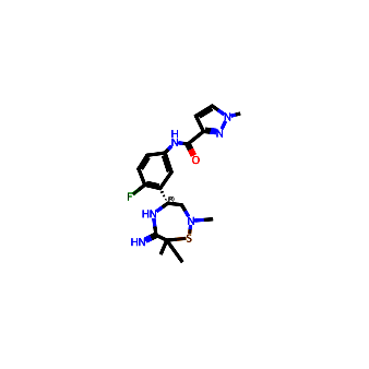 CN1C[C@@H](c2cc(NC(=O)c3ccn(C)n3)ccc2F)NC(=N)C(C)(C)S1